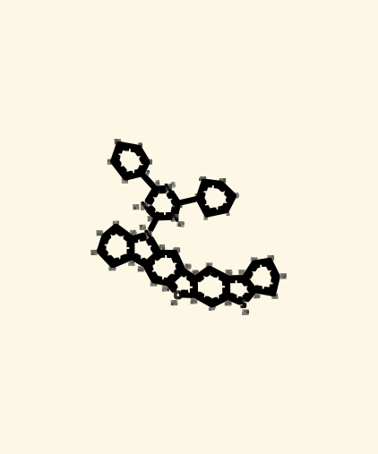 c1ccc(-c2nc(-c3ccccc3)nc(-n3c4ccccc4c4cc5oc6cc7sc8ccccc8c7cc6c5cc43)n2)cc1